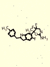 Cc1ccc(CC2=Nc3cc([C@@]4(C)OC(N)=NCC4(F)F)c(F)cc3C2)cc1